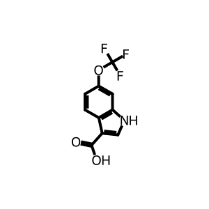 O=C(O)c1c[nH]c2cc(OC(F)(F)F)ccc12